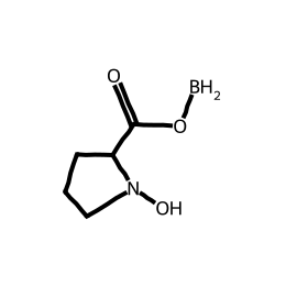 BOC(=O)C1CCCN1O